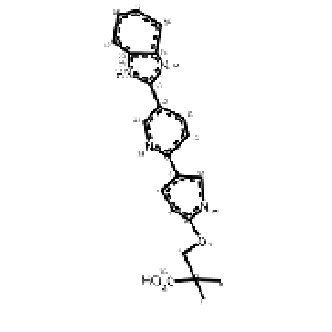 CC(C)(COc1ccc(-c2ccc(-c3nc4ccccc4[nH]3)cn2)cn1)C(=O)O